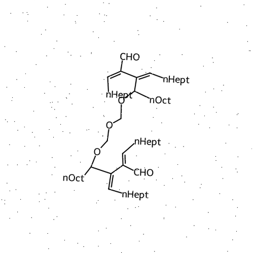 CCCCCCCC=C(C=O)C(=CCCCCCCC)C(CCCCCCCC)OCOCOC(CCCCCCCC)C(=CCCCCCCC)C(C=O)=CCCCCCCC